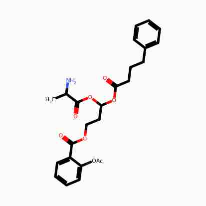 CC(=O)Oc1ccccc1C(=O)OCCC(OC(=O)CCCc1ccccc1)OC(=O)C(C)N